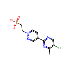 Cc1nc(-c2cc[n+](CCS(=O)(=O)[O-])nc2)ncc1Cl